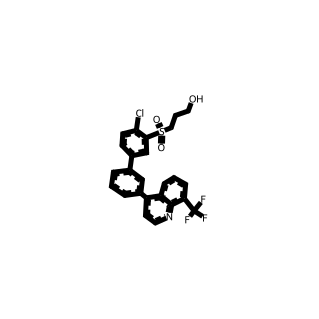 O=S(=O)(CCCO)c1cc(-c2cccc(-c3ccnc4c(C(F)(F)F)cccc34)c2)ccc1Cl